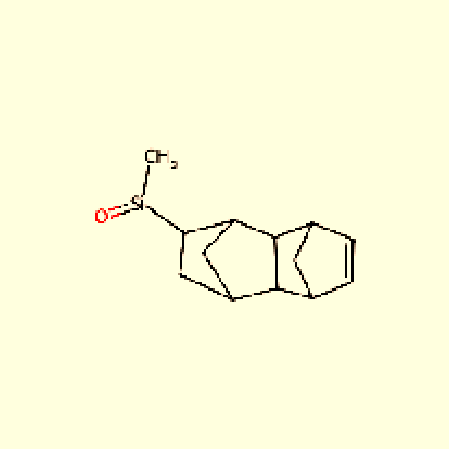 C[Si](=O)C1CC2CC1C1C3C=CC(C3)C21